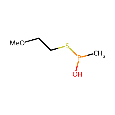 COCCSP(C)O